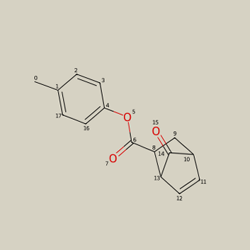 Cc1ccc(OC(=O)C2CC3C=CC2C3=O)cc1